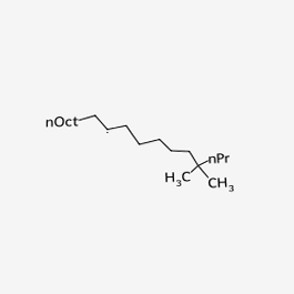 CCCCCCCCC[CH]CCCCCC(C)(C)CCC